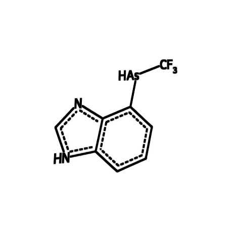 FC(F)(F)[AsH]c1cccc2[nH]cnc12